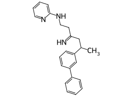 CC(CC(=N)CCNc1ccccn1)c1cccc(-c2ccccc2)c1